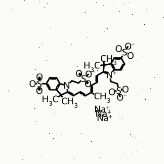 CC(C=CC=C1N(CCS(=O)(=O)[O-])c2ccc(S(=O)(=O)[O-])cc2C1(C)C)=CC=CC1=[N+](CCS(=O)(=O)[O-])c2ccc(S(=O)(=O)[O-])cc2C1(C)C.[Na+].[Na+].[Na+]